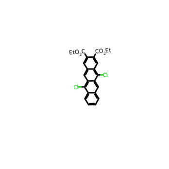 CCOC(=O)c1cc2cc3c(Cl)c4ccccc4cc3c(Cl)c2cc1C(=O)OCC